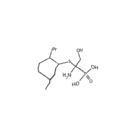 CC1CCC(C(C)C)C(SC(N)(CO)P(=O)(O)O)C1